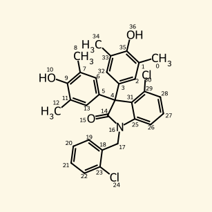 Cc1cc(C2(c3cc(C)c(O)c(C)c3)C(=O)N(Cc3ccccc3Cl)c3cccc(Cl)c32)cc(C)c1O